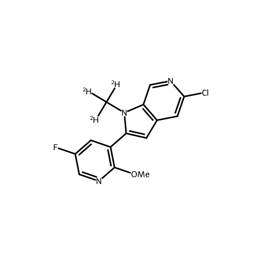 [2H]C([2H])([2H])n1c(-c2cc(F)cnc2OC)cc2cc(Cl)ncc21